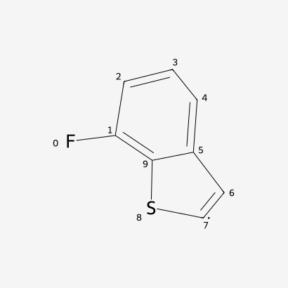 Fc1cccc2c[c]sc12